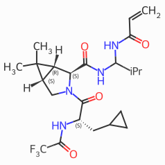 C=CC(=O)NC(NC(=O)[C@@H]1[C@@H]2[C@H](CN1C(=O)[C@H](CC1CC1)NC(=O)C(F)(F)F)C2(C)C)C(C)C